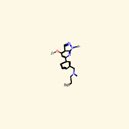 CCOc1cc(-c2cccc(CN(C)CCNC)c2)nc2c1cnn2C(C)C